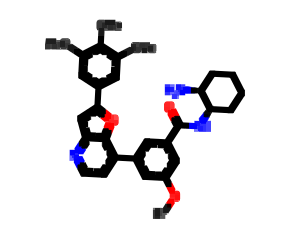 COc1cc(-c2cc3nccc(-c4cc(OC(C)C)cc(C(=O)N[C@@H]5CCCC[C@@H]5N)c4)c3o2)cc(OC)c1OC